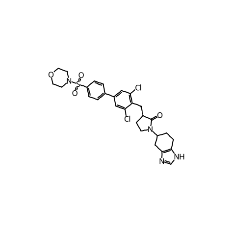 O=C1[C@H](Cc2c(Cl)cc(-c3ccc(S(=O)(=O)N4CCOCC4)cc3)cc2Cl)CCN1C1CCc2[nH]cnc2C1